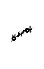 Fc1ccc(NCc2coc(/C=C/c3ccc(C(F)(F)F)cc3)n2)cc1